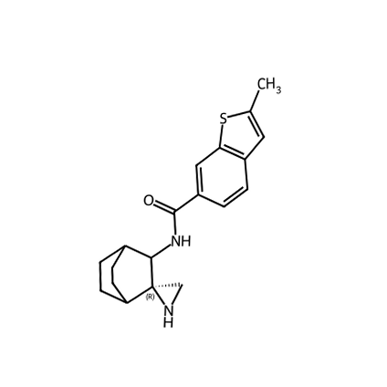 Cc1cc2ccc(C(=O)NC3C4CCC(CC4)[C@@]34CN4)cc2s1